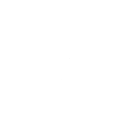 Fc1ccc2c(c1)[nH]c1c2nc2ccccn21